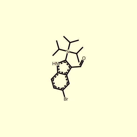 CC(C)[Si](c1[nH]c2ccc(Br)cc2c1C=O)(C(C)C)C(C)C